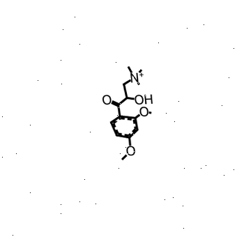 COc1ccc(C(=O)C(O)C[N+](C)(C)C)c(OC)c1